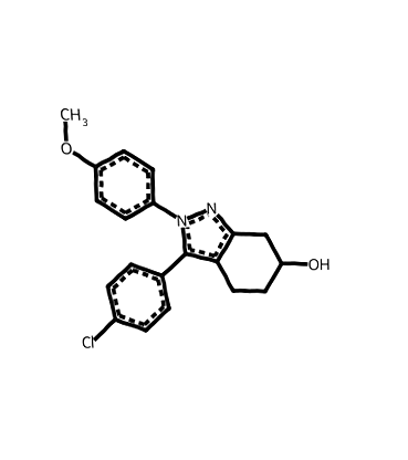 COc1ccc(-n2nc3c(c2-c2ccc(Cl)cc2)CCC(O)C3)cc1